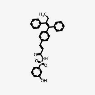 CC/C(=C(\c1ccccc1)c1ccc(/C=C/C(=O)NS(=O)(=O)c2cccc(O)c2)cc1)c1ccccc1